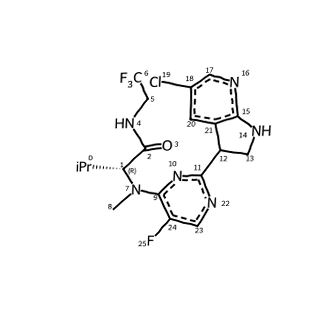 CC(C)[C@H](C(=O)NCC(F)(F)F)N(C)c1nc(C2CNc3ncc(Cl)cc32)ncc1F